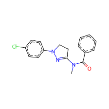 CN(C(=O)c1ccccc1)C1=NN(c2ccc(Cl)cc2)CC1